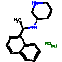 C[C@@H](N[C@H]1CCCNC1)c1cccc2ccccc12.Cl.Cl